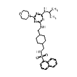 CC(C)Nc1nc(NCC2CCC(CNS(=O)(=O)c3cccc4ccccc34)CC2)nc(N2CCOCC2)n1